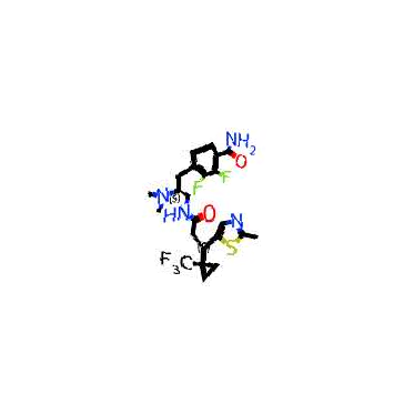 Cc1ncc([C@H](CC(=O)NC[C@H](Cc2ccc(C(N)=O)c(F)c2F)N(C)C)C2(C(F)(F)F)CC2)s1